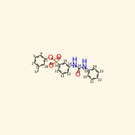 Cc1cccc(OS(=O)(=O)c2cccc(NC(=O)Nc3ccccc3)c2)c1